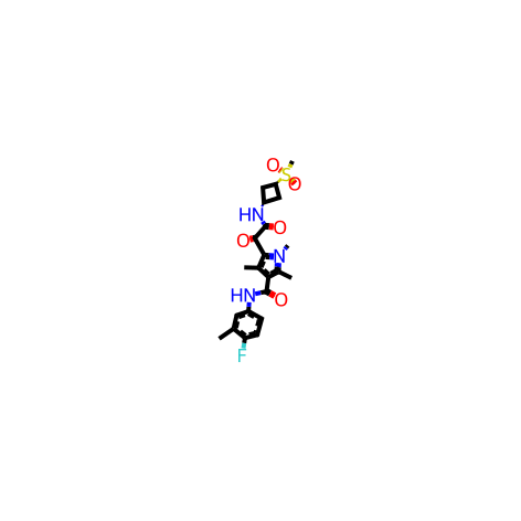 Cc1cc(NC(=O)c2c(C)c(C(=O)C(=O)N[C@H]3C[C@H](S(C)(=O)=O)C3)n(C)c2C)ccc1F